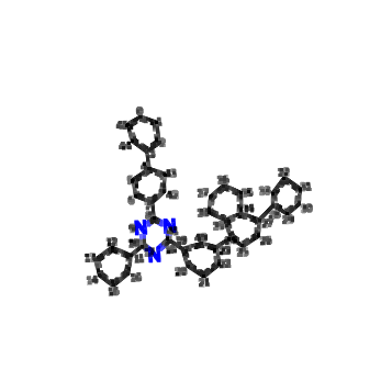 c1ccc(-c2ccc(-c3nc(-c4ccccc4)nc(-c4cccc(-c5ccc(-c6ccccc6)c6ccccc56)c4)n3)cc2)cc1